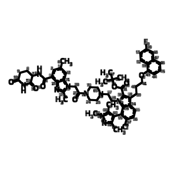 Cc1cc(C(=O)NC2CCC(=O)NC2=O)c2nc(C)n(CC(=O)N3CCN(CCn4c(C(=O)OC(C)(C)C)c(CCCOc5cccc6cc(F)ccc56)c5ccc(Cl)c(-c6c(C)nn(C)c6C)c54)CC3)c2c1